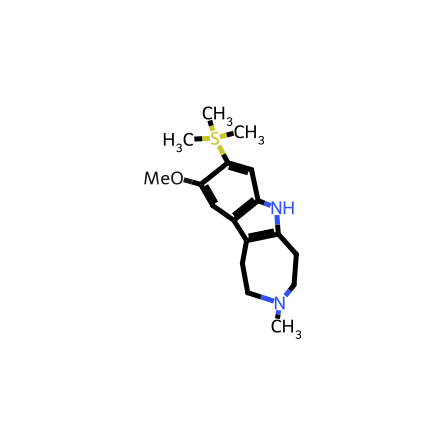 COc1cc2c3c([nH]c2cc1S(C)(C)C)CCN(C)CC3